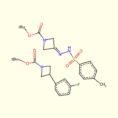 CC(C)(C)OC(=O)N1CC(c2cccc(F)c2)C1.Cc1ccc(S(=O)(=O)NN=C2CN(C(=O)OC(C)(C)C)C2)cc1